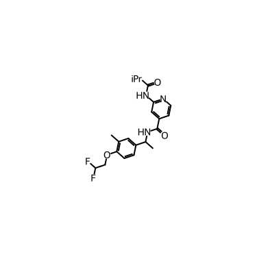 Cc1cc(C(C)NC(=O)c2ccnc(NC(=O)C(C)C)c2)ccc1OCC(F)F